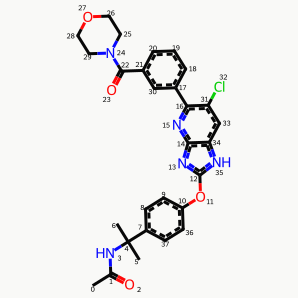 CC(=O)NC(C)(C)c1ccc(Oc2nc3nc(-c4cccc(C(=O)N5CCOCC5)c4)c(Cl)cc3[nH]2)cc1